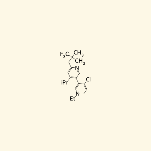 CCN1C=C(c2cnc(CC(C)(C)C(F)(F)F)cc2C(C)C)C(Cl)=CC1